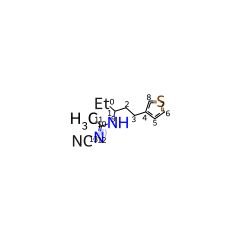 CCC(CCc1ccsc1)N/C(C)=N/C#N